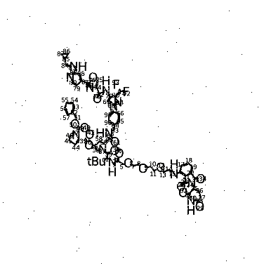 CC(C)(C)[C@H](NC(=O)COCCOCCOCCNc1cccc2c1C(=O)N(C1CCC(=O)NC1=O)C2=O)C(=O)N1C[C@H](OC(=O)[C@@H]2CCCN2C(=O)OCc2ccccc2)C[C@H]1C(=O)NCc1ccc(-n2cc(NC(=O)c3coc(-c4ccnc(NCC5CC5)c4)n3)c(C(F)F)n2)cc1